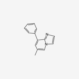 Cc1cc(-c2ccccc2)c2nccn2c1